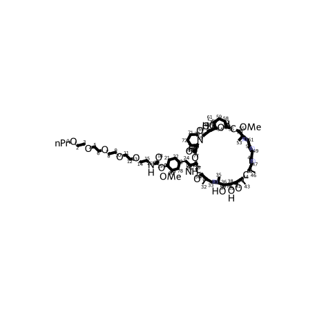 CCCOCCOCCOCCOCCOCCNC(=O)O[C@@H]1CC[C@@H](C[C@@H](N)[C@@H]2CC(=O)[C@H](C)/C=C(\C)[C@@H](O)[C@@H](O)C(=O)[C@H](C)C[C@H](C)/C=C/C=C/C=C(\C)[C@@H](OC)C[C@@H]3CC[C@@H](C)[C@@](O)(O3)C(=O)C(=O)N3CCCC[C@H]3C(=O)O2)C[C@H]1OC